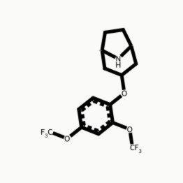 FC(F)(F)Oc1ccc(OC2C[C]3CCC(C2)N3)c(OC(F)(F)F)c1